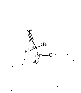 N#CC(Br)(Br)[N+](=O)[O-]